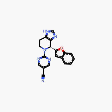 N#Cc1cnc(N2CCc3[nH]cnc3[C@@H]2c2cc3ccccc3o2)nc1